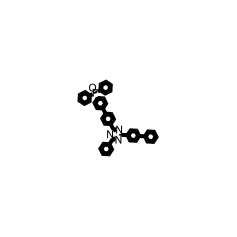 O=P(c1ccccc1)(c1ccccc1)c1ccc(-c2ccc(-c3nc(-c4ccccc4)nc(-c4ccc(-c5ccccc5)cc4)n3)cc2)cc1